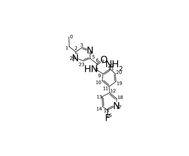 CCc1cnc(C(=O)Nc2cc(-c3ccc(F)nc3)ccc2N)cn1